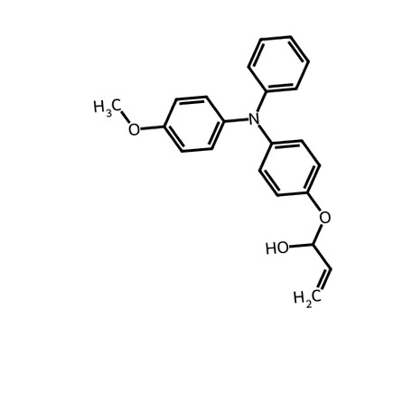 C=CC(O)Oc1ccc(N(c2ccccc2)c2ccc(OC)cc2)cc1